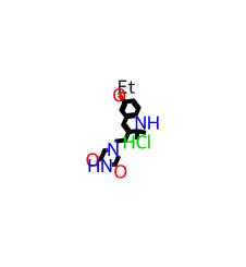 CCOc1ccc2c(c1)C=C(CCN1CC(=O)NC(=O)C1)C(C)(C)N2.Cl